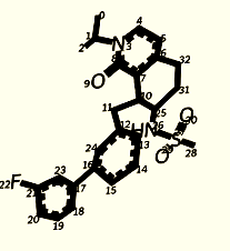 CC(C)n1ccc2c(c1=O)C(Cc1cccc(-c3cccc(F)c3)c1)C(NS(C)(=O)=O)CC2